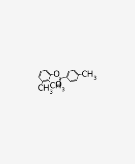 Cc1ccc(C(=O)Oc2cccc(C)c2C)cc1